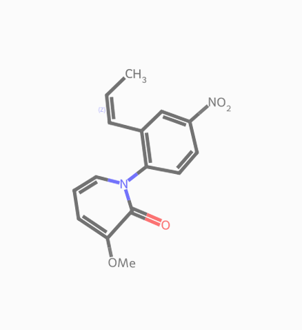 C/C=C\c1cc([N+](=O)[O-])ccc1-n1cccc(OC)c1=O